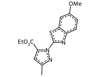 CCOC(=O)c1cc(C)nn1-c1nc2ccc(OC)cc2s1